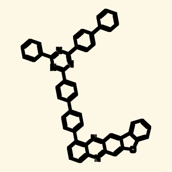 c1ccc(-c2ccc(-c3nc(-c4ccccc4)nc(-c4ccc(-c5ccc(-c6cccc7nc8cc9oc%10ccccc%10c9cc8nc67)cc5)cc4)n3)cc2)cc1